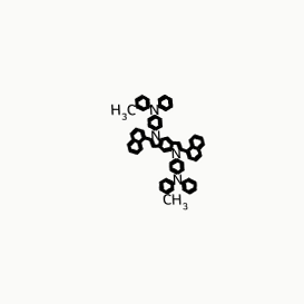 Cc1cccc(N(c2ccccc2)c2ccc(-n3c(-c4cccc5ccccc45)cc4cc5c(cc(-c6cccc7ccccc67)n5-c5ccc(N(c6ccccc6)c6cccc(C)c6)cc5)cc43)cc2)c1